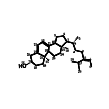 C/C=C(/CC[C@@H](C)C1CCC2C3=CC=C4C[C@@H](O)CC[C@]4(C)C3CC[C@@]21C)C(C)C